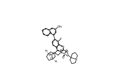 CS(=O)(=O)NCCN1[C@@H]2CC[C@H]1CN(c1nc(OCC34CCCN3CCC4)nc3c(F)c(-c4cc(O)cc5ccccc45)ccc13)C2